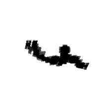 Cc1nn2c(N3CCN(CCO)CC3)cc(-c3ccccc3)nc2c1-c1ccc(CCCCCCCCN)cc1